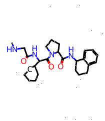 CNCC(=O)NC(C(=O)N1CCCC1C(=O)NC1CCCc2ccccc21)C1CCCCC1